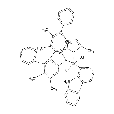 CC1=Cc2c(cc(C)c(C)c2-c2ccccc2)[CH]1[Zr]([Cl])([Cl])([c]1cccc2c1[SiH2]c1ccccc1-2)[CH]1C(C)=Cc2c1cc(C)c(C)c2-c1ccccc1